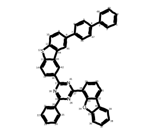 c1ccc(-c2ccc(-c3ccc4sc5ccc(-c6nc(-c7ccccc7)nc(-c7cccc8c7oc7ccccc78)n6)cc5c4c3)cc2)cc1